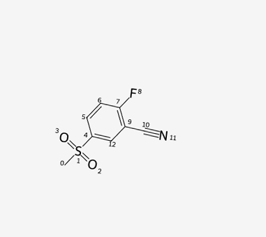 CS(=O)(=O)c1ccc(F)c(C#N)c1